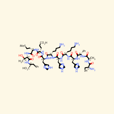 CSCC[C@H](NC(=O)[C@H](CCC(=O)O)NC(=O)[C@H](Cc1c[nH]cn1)NC(=O)[C@H](CCCCN)NC(=O)[C@H](Cc1c[nH]cn1)NC(=O)[C@H](CCCCN)NC(=O)[C@H](Cc1c[nH]cn1)NC(=O)[C@@H](NC(=O)[C@H](C)NC(=O)[C@@H](N)CC(C)C)C(C)C)C(=O)N[C@H](C(=O)N[C@@H](CC(C)C)C(=O)O)[C@@H](C)O